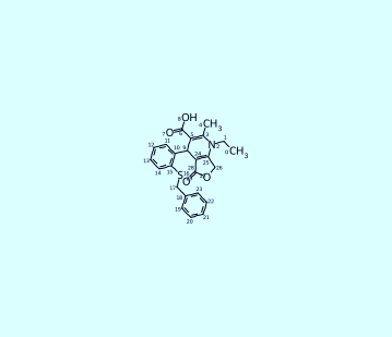 CCN1C(C)=C(C(=O)O)C(c2ccccc2SCc2ccccc2)C2=C1COC2=O